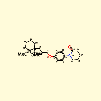 COC1(CCCOc2ccc(N3CCCCC3=O)cc2)CCCC[Si]1(OC)OC